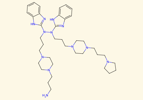 NCCCN1CCN(CCCN(c2nc3ccccc3[nH]2)N(CCCN2CCN(CCCN3CCCC3)CC2)c2nc3ccccc3[nH]2)CC1